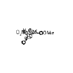 COc1ccc(CS[C@H]2C[C@@H](C(=O)N3CCN([N+](=O)[O-])CC3C(=O)OCc3ccccc3)N(C)C2)cc1